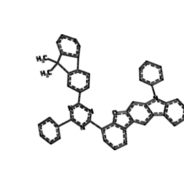 CC1(C)c2ccccc2-c2ccc(-c3nc(-c4ccccc4)nc(-c4cccc5c4oc4cc6c(cc45)c4ccccc4n6-c4ccccc4)n3)cc21